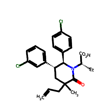 C=CCC1(C)C[C@H](c2cccc(Cl)c2)[C@@H](c2ccc(Cl)cc2)N([C@@H](CC)C(=O)O)C1=O